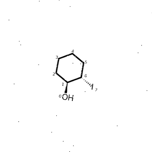 O[C@H]1CCCC[C@@H]1I